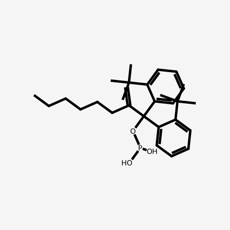 C=C(CCCCCC)C(OP(O)O)(c1ccccc1C(C)(C)C)c1ccccc1C(C)(C)C